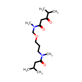 CC(C)CC(=O)N(C)CCCOCN(C)C(=O)CC(=O)C(C)C